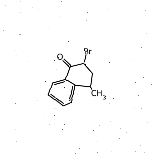 CC1CC(Br)C(=O)c2ccccc21